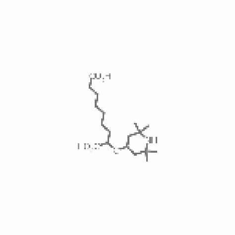 CC1(C)CC(OC(CCCCCCC(=O)O)C(=O)O)CC(C)(C)N1